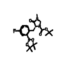 CN1CN(C(=O)OC(C)(C)C)[C@@H](Cc2ccc(F)cc2B2OC(C)(C)C(C)(C)O2)C1=O